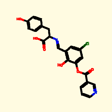 O=C(Oc1cc(Cl)cc(C=NC(Cc2ccc(O)cc2)C(=O)O)c1O)c1cccnc1